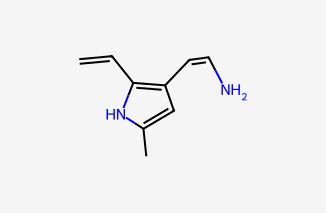 C=Cc1[nH]c(C)cc1/C=C\N